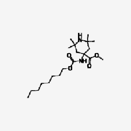 CCCCCCCCOC(=O)NC1(C(=O)OC)CC(C)(C)NC(C)(C)C1